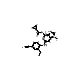 CCc1cc(C#N)ccc1Nc1cc2c(ncn2C)c(NC(=O)C2CC2)n1